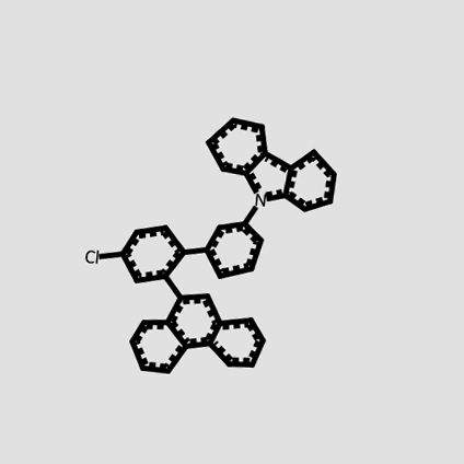 Clc1ccc(-c2cccc(-n3c4ccccc4c4ccccc43)c2)c(-c2cc3ccccc3c3ccccc23)c1